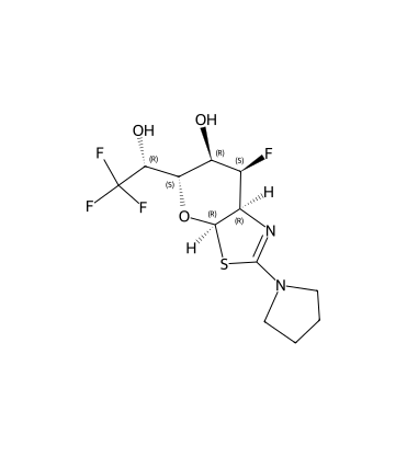 O[C@H]1[C@@H](F)[C@H]2N=C(N3CCCC3)S[C@H]2O[C@@H]1[C@@H](O)C(F)(F)F